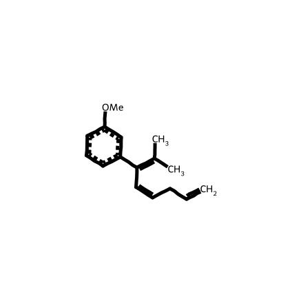 C=CC/C=C\C(=C(C)C)c1cccc(OC)c1